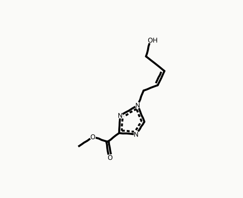 COC(=O)c1ncn(C/C=C\CO)n1